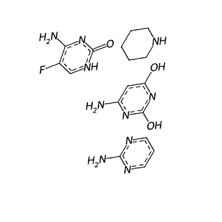 C1CCNCC1.Nc1cc(O)nc(O)n1.Nc1nc(=O)[nH]cc1F.Nc1ncccn1